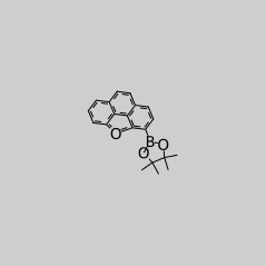 CC1(C)OB(c2ccc3ccc4cccc5oc2c3c45)OC1(C)C